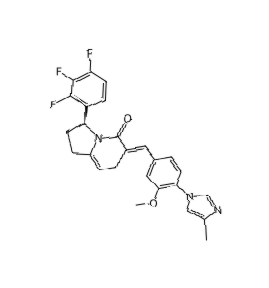 COc1cc(C=C2CC=C3CC[C@@H](c4ccc(F)c(F)c4F)N3C2=O)ccc1-n1cnc(C)c1